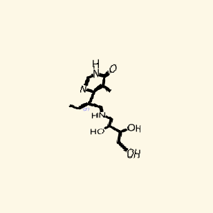 C/C=C(/CNCC(O)C(O)CO)c1nc[nH]c(=O)c1C